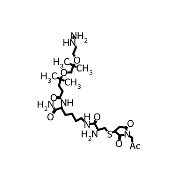 CC(=O)CN1C(=O)CC(SC[C@@H](N)C(=O)NCCCCC(NC(=O)CCC(C)(C)OCC(C)(C)OCCNN)C(N)=O)C1=O